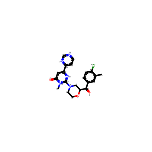 Cc1cc(C(=O)C2CN(c3nc(-c4ccncn4)cc(=O)n3C)CCO2)ccc1Cl